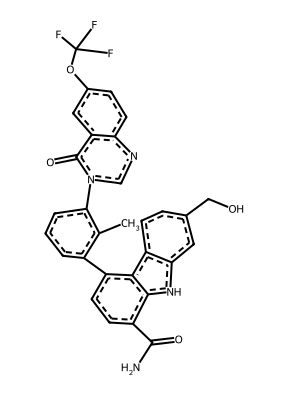 Cc1c(-c2ccc(C(N)=O)c3[nH]c4cc(CO)ccc4c23)cccc1-n1cnc2ccc(OC(F)(F)F)cc2c1=O